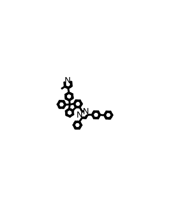 Cc1cnccc1-c1ccc(C2(c3ccccc3)c3ccccc3-c3c(-c4nc(-c5ccccc5)cc(-c5ccc(-c6ccccc6)cc5)n4)cccc32)cc1